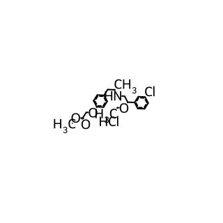 CCOC(CNC(C)Cc1ccc(OCC(=O)OC)cc1)c1cccc(Cl)c1.Cl